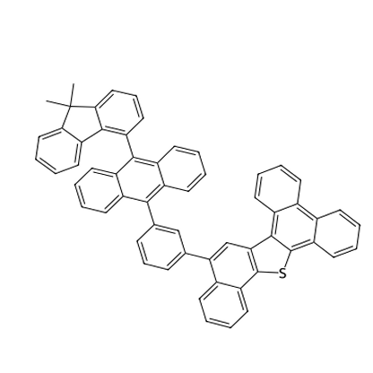 CC1(C)c2ccccc2-c2c(-c3c4ccccc4c(-c4cccc(-c5cc6c(sc7c8ccccc8c8ccccc8c67)c6ccccc56)c4)c4ccccc34)cccc21